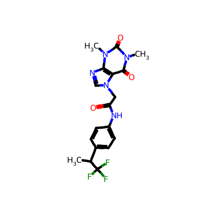 CC(c1ccc(NC(=O)Cn2cnc3c2c(=O)n(C)c(=O)n3C)cc1)C(F)(F)F